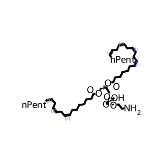 CCCCC/C=C\C/C=C\C/C=C\C/C=C\CCCCCC(=O)O[C@H](COC(=O)CCCCCC/C=C\C/C=C\C/C=C\CCCCC)COP(=O)(O)OCCN